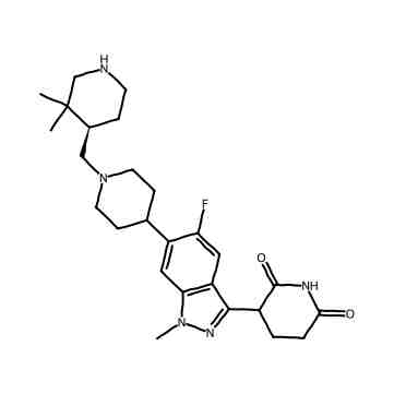 Cn1nc(C2CCC(=O)NC2=O)c2cc(F)c(C3CCN(C[C@@H]4CCNCC4(C)C)CC3)cc21